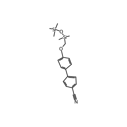 C[Si](C)(C)O[Si](C)(C)COc1ccc(-c2ccc(C#N)cc2)cc1